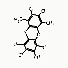 Cc1c(Cl)c(Cl)c2c(c1Cl)Oc1c(C)c(Cl)c(Cl)c(C)c1S2